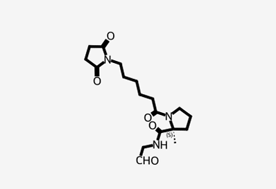 C[C@@]1(C(=O)NCC=O)CCCN1C(=O)CCCCCN1C(=O)CCC1=O